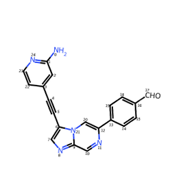 Nc1cc(C#Cc2cnc3cnc(-c4ccc(C=O)cc4)cn23)ccn1